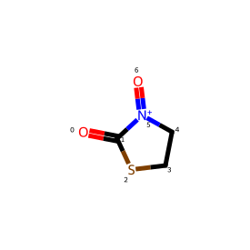 O=C1SCC[N+]1=O